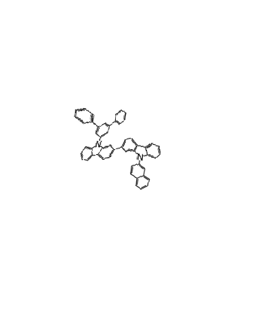 c1ccc(-c2cc(-c3ccccc3)cc(-n3c4ccccc4c4ccc(-c5ccc6c7ccccc7n(-c7ccc8ccccc8c7)c6c5)cc43)c2)cc1